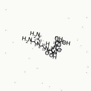 NCCCN(CCCN)CCCNC(=O)c1cn([C@H]2C[C@H](O)[C@@H](CO)O2)c(=O)[nH]c1=O